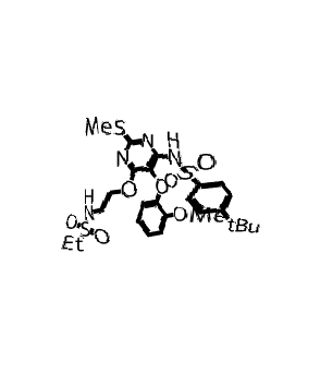 CCS(=O)(=O)NCCOc1nc(SC)nc(NS(=O)(=O)c2ccc(C(C)(C)C)cc2)c1Oc1ccccc1OC